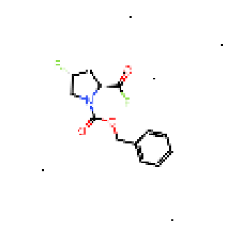 O=C(F)[C@@H]1C[C@@H](F)CN1C(=O)OCc1ccccc1